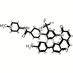 CN1CCC(NC(=O)C2CCN(c3ccc(-n4c(=O)ccc5cnc6ccc(-c7ccc(N)cc7)cc6c54)cc3C(F)(F)F)CC2)CC1